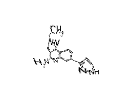 CCn1cc2c(N)nc3cc(-c4cc[nH]n4)ccc3c2n1